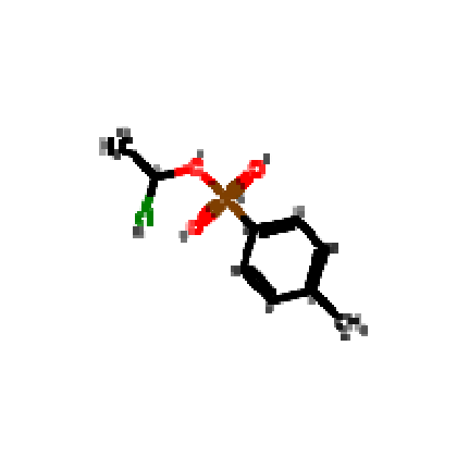 Cc1ccc(S(=O)(=O)OC(C)Cl)cc1